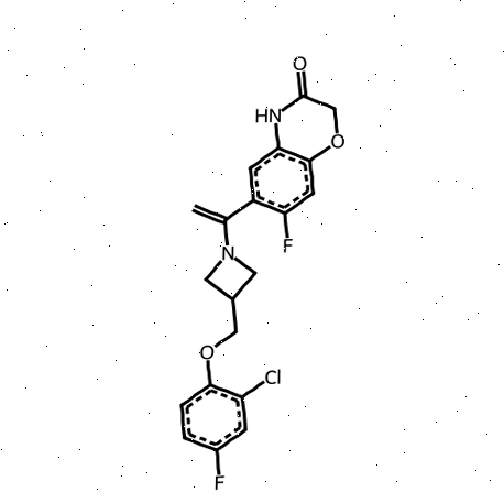 C=C(c1cc2c(cc1F)OCC(=O)N2)N1CC(COc2ccc(F)cc2Cl)C1